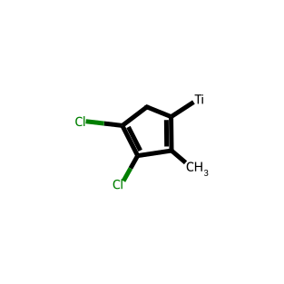 CC1=[C]([Ti])CC(Cl)=C1Cl